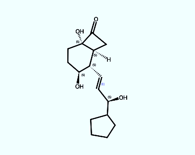 O=C1C[C@H]2[C@H](/C=C/[C@@H](O)C3CCCC3)[C@@H](O)CC[C@@]12O